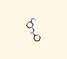 NC1CN(CNC2CCCCO2)CCO1